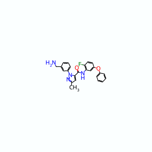 Cc1cc(C(=O)Nc2cc(Oc3ccccc3)ccc2F)n(-c2cccc(CN)c2)n1